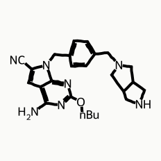 CCCCOc1nc(N)c2cc(C#N)n(Cc3ccc(CN4CC5CNCC5C4)cc3)c2n1